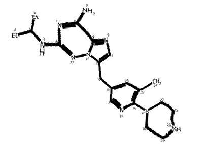 CCC(CC)Nc1nc(N)c2ncc(Cc3cnc(N4CCNCC4)c(C)c3)n2n1